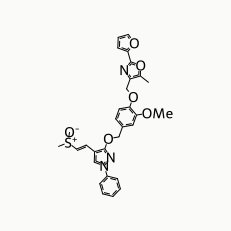 COc1cc(COc2nn(-c3ccccc3)cc2C=C[S+](C)[O-])ccc1OCc1nc(-c2ccco2)oc1C